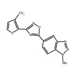 Cc1ccsc1-c1noc(-c2ccc3c(c2)nnn3C(C)(C)C)n1